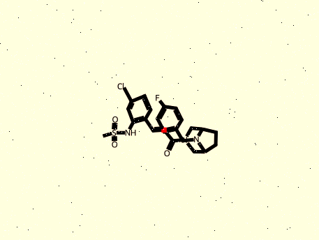 CS(=O)(=O)Nc1cc(Cl)ccc1C=CC(=O)N1CC2CCC(C1)N2Cc1ccc(F)cc1